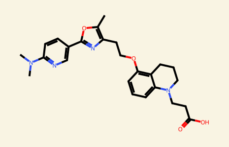 Cc1oc(-c2ccc(N(C)C)nc2)nc1CCOc1cccc2c1CCCN2CCC(=O)O